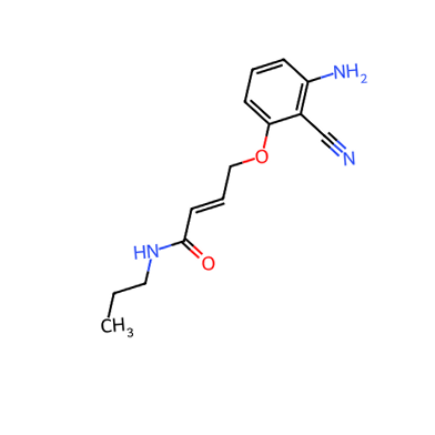 CCCNC(=O)/C=C/COc1cccc(N)c1C#N